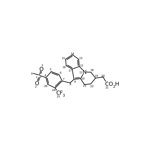 CS(=O)(=O)c1ccc(Cc2c3n(c4ccccc24)CC(CC(=O)O)CC3)c(C(F)(F)F)c1